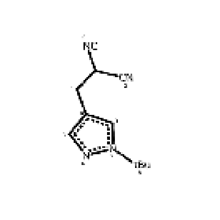 [C-]#[N+]C(C#N)Cc1cnn(C(C)(C)C)c1